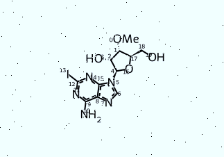 CO[C@H]1[C@@H](O)[C@H](n2cnc3c(N)nc(I)nc32)O[C@@H]1CO